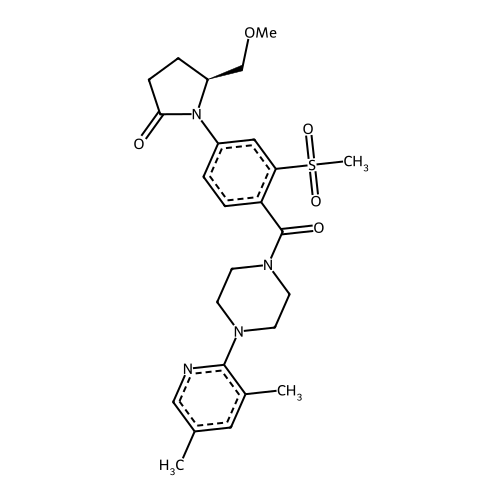 COC[C@@H]1CCC(=O)N1c1ccc(C(=O)N2CCN(c3ncc(C)cc3C)CC2)c(S(C)(=O)=O)c1